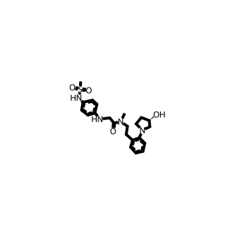 CN(CCc1ccccc1N1CC[C@H](O)C1)C(=O)CNc1ccc(NS(C)(=O)=O)cc1